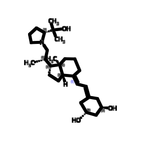 C[C@H](CN1CCC[C@@H]1C(C)(C)O)[C@H]1CC[C@H]2/C(=C/C=C3C[C@@H](O)C[C@H](O)C3)CCC[C@]12C